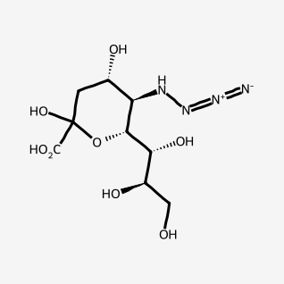 [N-]=[N+]=NN[C@H]1[C@H]([C@H](O)[C@H](O)CO)OC(O)(C(=O)O)C[C@@H]1O